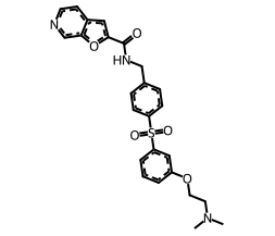 CN(C)CCOc1cccc(S(=O)(=O)c2ccc(CNC(=O)c3cc4ccncc4o3)cc2)c1